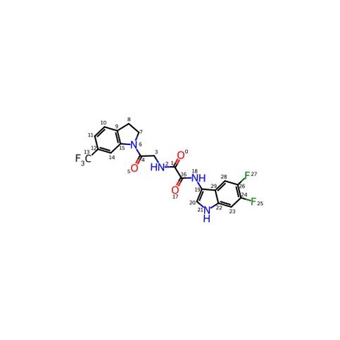 O=C(NCC(=O)N1CCc2ccc(C(F)(F)F)cc21)C(=O)Nc1c[nH]c2cc(F)c(F)cc12